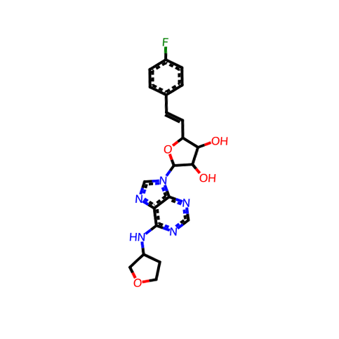 OC1C(C=Cc2ccc(F)cc2)OC(n2cnc3c(NC4CCOC4)ncnc32)C1O